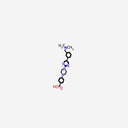 CN(C)Cc1cccc(-c2cnc(N3CCN(c4ccc(C(=O)O)cc4)CC3)nc2)c1